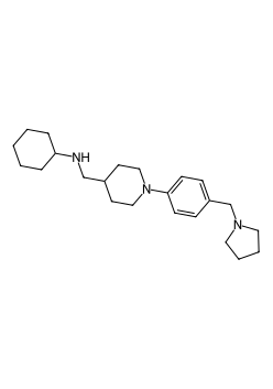 c1cc(N2CCC(CNC3CCCCC3)CC2)ccc1CN1CCCC1